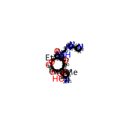 CC[C@H]1OC(=O)[C@@](C)(F)C(=O)[C@H](C)[C@@H](OC2O[C@H](C)C[C@H](N(C)C)[C@H]2O)[C@@](C)(OC)C[C@@H](C)C(=O)[C@H](C)[C@@H]2C1CC(=O)N2NCCCn1cnc(-c2cccnc2)c1